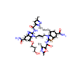 CCc1nc(C)oc1C(=O)/N=c1\sc2cc(C(N)=O)cc(OC)c2n1C/C=C/Cn1c(NC(=O)c2cc(C)nn2CC)nc2cc(C(N)=O)cc(OCCCO)c21